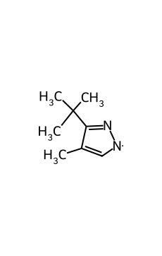 CC1=C[N]N=C1C(C)(C)C